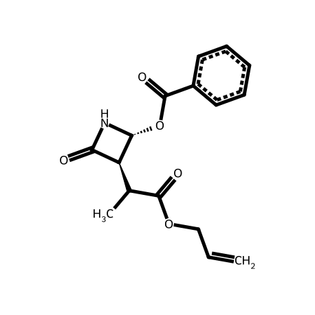 C=CCOC(=O)C(C)[C@H]1C(=O)N[C@@H]1OC(=O)c1ccccc1